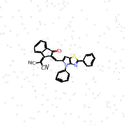 N#CC(C#N)=C1/C(=C/c2cc3sc(-c4ccccc4)nc3n2-c2ccccc2)C(=O)c2ccccc21